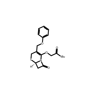 CC(C)(C)C(=O)COC1=C(COc2ccccc2)CS[C@@H]2CC(=O)N12